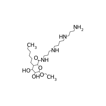 CCCCCCC1C(C(=O)NCCCNCCCCNCCCN)OC(OCC)C(O)C1O